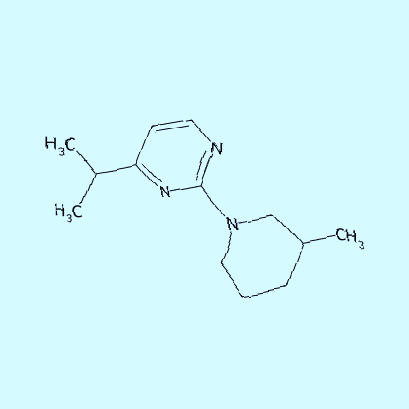 CC1CCCN(c2nccc(C(C)C)n2)C1